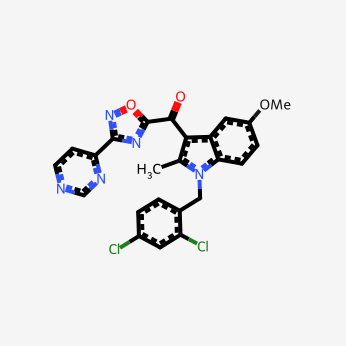 COc1ccc2c(c1)c(C(=O)c1nc(-c3ccncn3)no1)c(C)n2Cc1ccc(Cl)cc1Cl